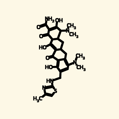 Cc1csc(NCc2cc(N(C)C)c3c(c2O)C(=O)C2=C(O)C4C(=O)C(C(N)=O)=C(O)C(N(C)C)C4CC2C3)n1